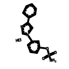 Cl.NS(=O)(=O)Oc1cccc(-n2cnc(-c3ccccc3)c2)c1